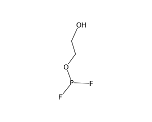 OCCOP(F)F